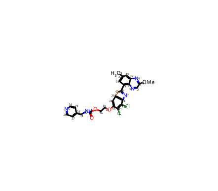 COc1cnc2c(-c3nc4c(Cl)c(F)c(OCCOC(=O)NCc5ccncc5)cc4s3)cc(C)cc2n1